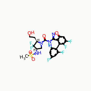 CS(=O)(=O)N[C@@H]1CN(C(=O)Nc2noc3cc(F)c(F)c(-c4c(F)cc(F)cc4F)c23)[C@H](CCO)C1(F)F